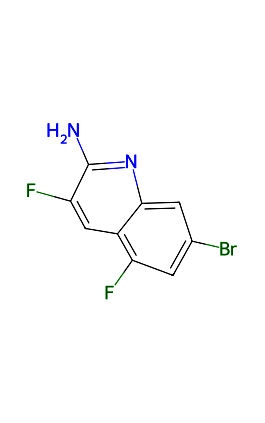 Nc1nc2cc(Br)cc(F)c2cc1F